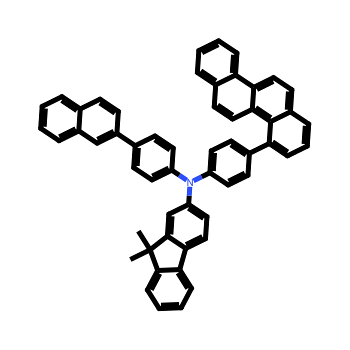 CC1(C)c2ccccc2-c2ccc(N(c3ccc(-c4ccc5ccccc5c4)cc3)c3ccc(-c4cccc5ccc6c7ccccc7ccc6c45)cc3)cc21